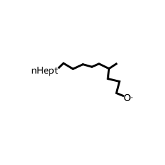 CCCCCCCCCCCCC(C)CCC[O]